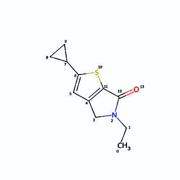 CCN1Cc2cc(C3CC3)sc2C1=O